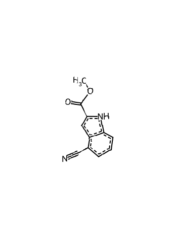 COC(=O)c1cc2c(C#N)cccc2[nH]1